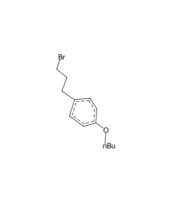 CCCCOc1ccc(CCCBr)cc1